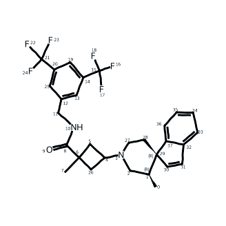 C[C@H]1CN(C2CC(C)(C(=O)NCc3cc(C(F)(F)F)cc(C(F)(F)F)c3)C2)CC[C@@]12C=Cc1ccccc12